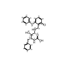 O=C(O)N[C@@H](Cc1ccccc1)[C@@H](O)CNCc1c(Cl)cccc1Oc1ccccc1